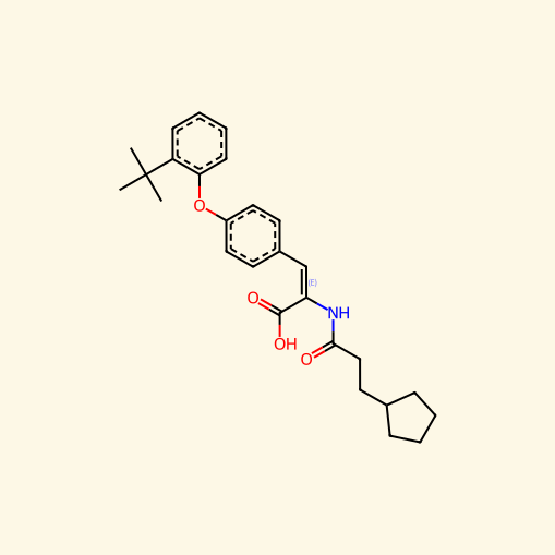 CC(C)(C)c1ccccc1Oc1ccc(/C=C(/NC(=O)CCC2CCCC2)C(=O)O)cc1